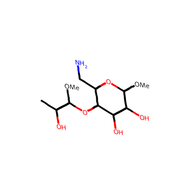 COC(OC1C(CN)OC(OC)C(O)C1O)C(C)O